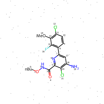 CCCCONC(=O)c1nc(-c2ccc(Cl)c(OC)c2F)cc(N)c1Cl